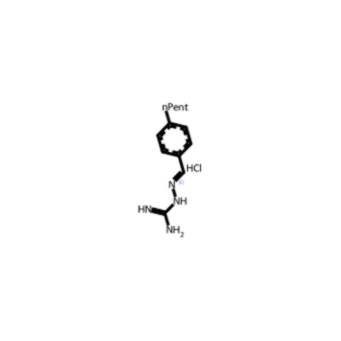 CCCCCc1ccc(/C=N/NC(=N)N)cc1.Cl